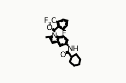 Cc1cc2cc(NC(=O)C3CCCCC3)ccc2n1C(=O)c1c(F)cccc1C(F)(F)F